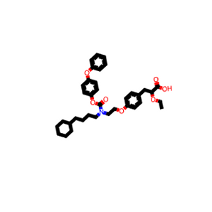 CCOC(Cc1ccc(OCCN(CCCCC2CCCCC2)C(=O)Oc2ccc(Oc3ccccc3)cc2)cc1)C(=O)O